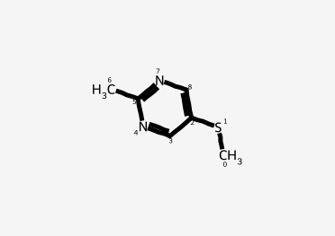 CSc1cnc(C)nc1